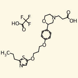 CCCc1ncc(OCCCOc2ccc(C3CN(CCC(=O)O)CCO3)cc2)s1.O=C(O)C(F)(F)F